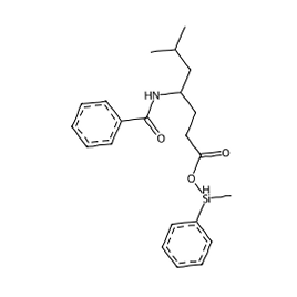 CC(C)CC(CCC(=O)O[SiH](C)c1ccccc1)NC(=O)c1ccccc1